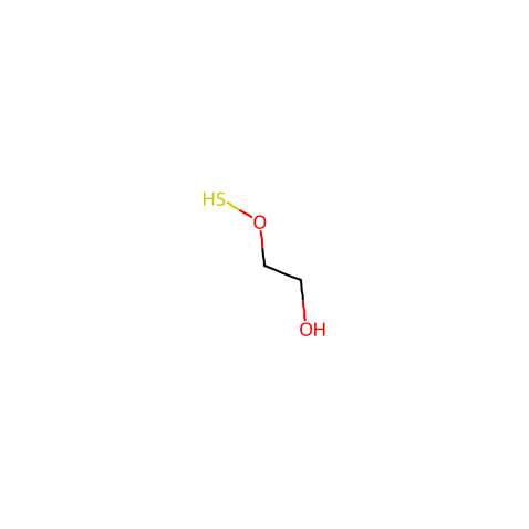 OCCOS